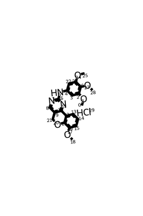 COc1cc(Nc2ncc3c(n2)-c2cccc(OC)c2OC3)cc(OC)c1OC.Cl